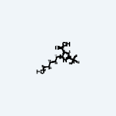 CC(C)(C)c1cc(C(=O)O)n(CCCCCO)n1